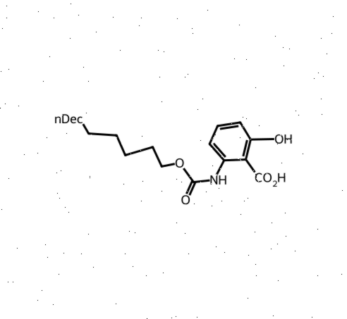 CCCCCCCCCCCCCCCOC(=O)Nc1cccc(O)c1C(=O)O